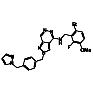 CCc1ccc(OC)c(F)c1CNc1nncc2nn(Cc3ccc(Cn4cccn4)cc3)cc12